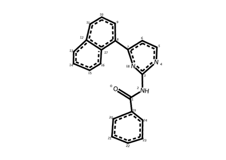 O=C(Nc1nccc(-c2cccc3ccccc23)n1)c1ccccc1